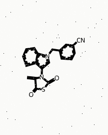 C=C1C(=O)SC(=O)N1c1cn(Cc2cccc(C#N)c2)c2ccccc12